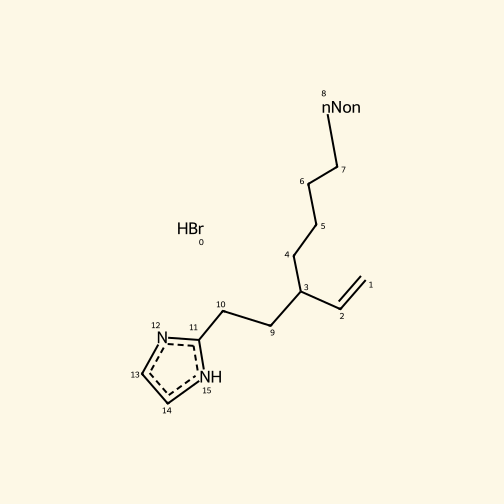 Br.C=CC(CCCCCCCCCCCCC)CCc1ncc[nH]1